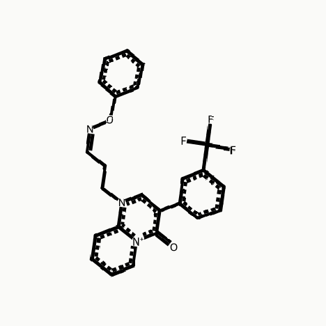 O=c1c(-c2cccc(C(F)(F)F)c2)cn(CC/C=N\Oc2ccccc2)c2cccc[n+]12